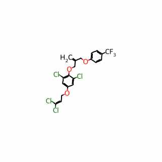 C=C(COc1ccc(C(F)(F)F)cc1)COc1c(Cl)cc(OCC=C(Cl)Cl)cc1Cl